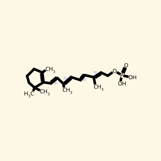 CC1=C(/C=C/C(C)=C/C=C/C(C)=C/COP(=O)(O)O)C(C)(C)CCC1